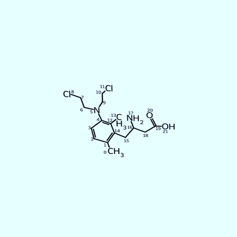 Cc1ccc(N(CCCl)CCCl)c(C)c1CC(N)CC(=O)O